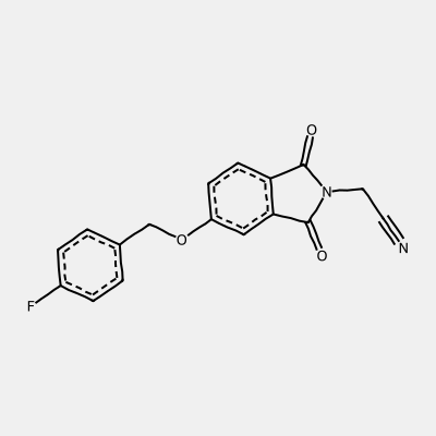 N#CCN1C(=O)c2ccc(OCc3ccc(F)cc3)cc2C1=O